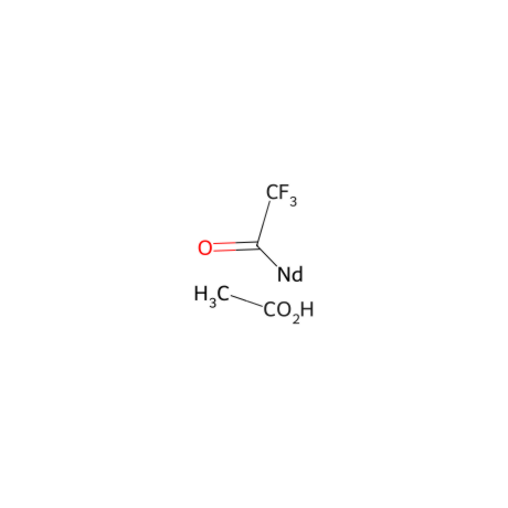 CC(=O)O.O=[C]([Nd])C(F)(F)F